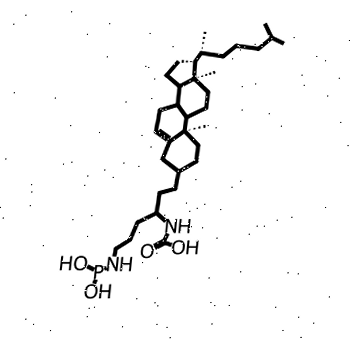 CC(C)CCC[C@@H](C)[C@H]1CCC2C3CC=C4CC(CCC(CCCNP(O)O)NC(=O)O)CC[C@]4(C)C3CC[C@@]21C